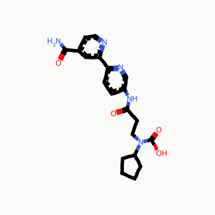 NC(=O)c1ccnc(-c2ccc(NC(=O)CCN(C(=O)O)C3CCCC3)cn2)c1